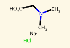 CN(C)CC(=O)O.Cl.[Na]